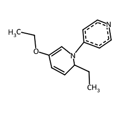 CCOC1=CN(c2ccncc2)C(CC)C=C1